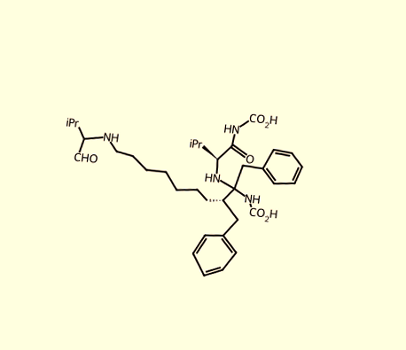 CC(C)C(C=O)NCCCCCCC[C@@H](Cc1ccccc1)C(Cc1ccccc1)(NC(=O)O)N[C@H](C(=O)NC(=O)O)C(C)C